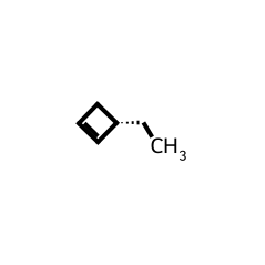 CC[C@@H]1C=CC1